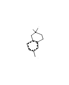 CCOC(=O)C1(N)CCc2cc(OC)ccc2C1